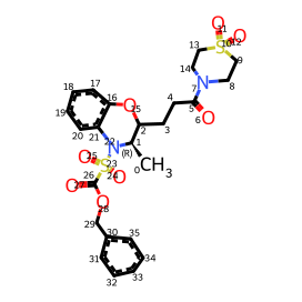 C[C@@H]1C(CCC(=O)N2CCS(=O)(=O)CC2)Oc2ccccc2N1S(=O)(=O)C(=O)OCc1ccccc1